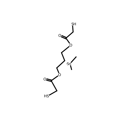 O=C(CS)OCCCOC(=O)CS.[CH3][Sn][CH3]